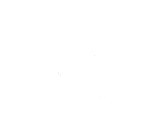 CC(C)(C)OC(=O)/C=C/c1cc([N+](=O)[O-])c(C(=O)c2cc(F)ccc2Cl)c(Br)c1N